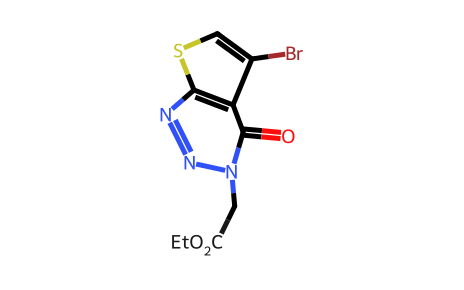 CCOC(=O)Cn1nnc2scc(Br)c2c1=O